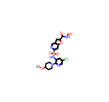 CCOC1CCN(c2ncc(Cl)cc2NS(=O)(=O)c2cc3oc(C(=O)NO)cc3cn2)CC1